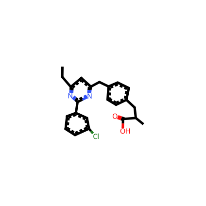 CCc1cc(Cc2ccc(CC(C)C(=O)O)cc2)nc(-c2cccc(Cl)c2)n1